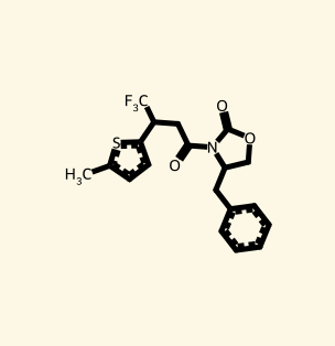 Cc1ccc(C(CC(=O)N2C(=O)OCC2Cc2ccccc2)C(F)(F)F)s1